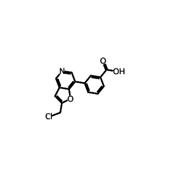 O=C(O)c1cccc(-c2cncc3cc(CCl)oc23)c1